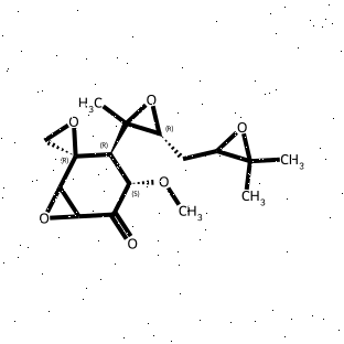 CO[C@@H]1C(=O)C2OC2[C@]2(CO2)[C@H]1C1(C)O[C@@H]1CC1OC1(C)C